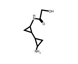 NC1CC1C1CC1NC(=O)CO